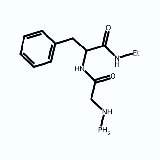 CCNC(=O)C(Cc1ccccc1)NC(=O)CNP